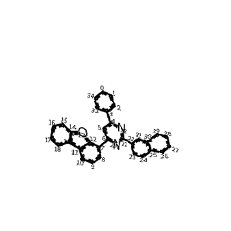 c1ccc(-c2cc(-c3cccc4c3oc3ccccc34)nc(-c3ccc4ccccc4c3)n2)cc1